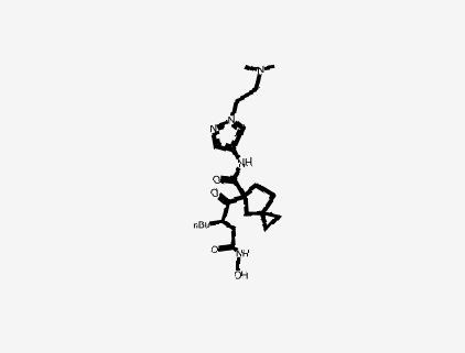 CCCCC(CC(=O)NO)C(=O)C1(C(=O)Nc2cnn(CCN(C)C)c2)CCC2(CC2)C1